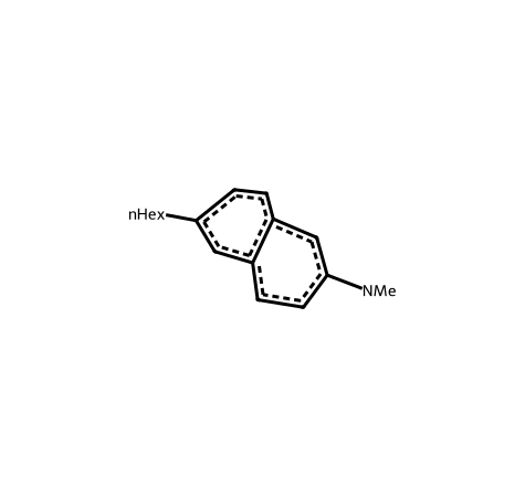 CCCCCCc1ccc2cc(NC)ccc2c1